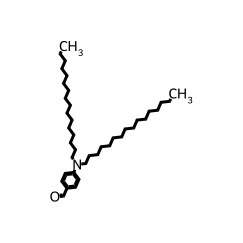 CCCCCCCCCCCCCCCCN(CCCCCCCCCCCCCCCC)c1ccc(C=O)cc1